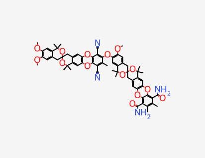 COc1cc2c(cc1OC)C(C)(C)OC1(C2)Cc2cc3c(cc2C(C)(C)O1)Oc1c(C#N)c(C)c(Oc2cc4c(cc2OC)CC2(Cc5cc6c(cc5C(C)(C)O2)Oc2c(c(C(N)=O)c(C)c(C)c2C(N)=O)O6)OC4(C)C)c(C#N)c1O3